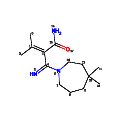 CC(C)=C(C(=N)N1CCCC(C)(C)CC1)C(N)=O